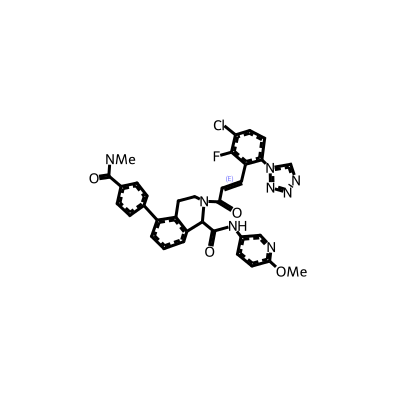 CNC(=O)c1ccc(-c2cccc3c2CCN(C(=O)/C=C/c2c(-n4cnnn4)ccc(Cl)c2F)C3C(=O)Nc2ccc(OC)nc2)cc1